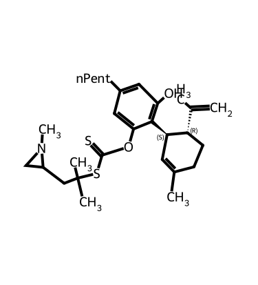 C=C(C)[C@@H]1CCC(C)=C[C@H]1c1c(O)cc(CCCCC)cc1OC(=S)SC(C)(C)CC1CN1C